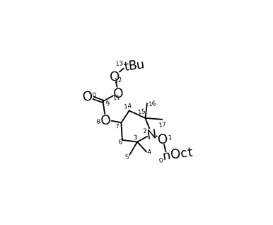 CCCCCCCCON1C(C)(C)CC(OC(=O)OOC(C)(C)C)CC1(C)C